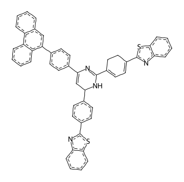 C1=C(C2=NC(c3ccc(-c4cc5ccccc5c5ccccc45)cc3)=CC(c3ccc(-c4nc5ccccc5s4)cc3)N2)CCC(c2nc3ccccc3s2)=C1